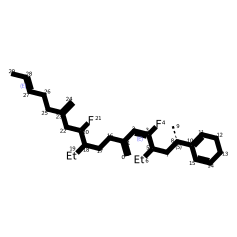 C=C(/C=C(/F)C(CC)C[C@H](C)C1=CCCC=C1)CCC(CC)C(F)CC(=C)CC/C=C/C